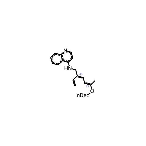 C=C/C(=C\C=C(/C)OCCCCCCCCCC)CNc1ccnc2ccccc12